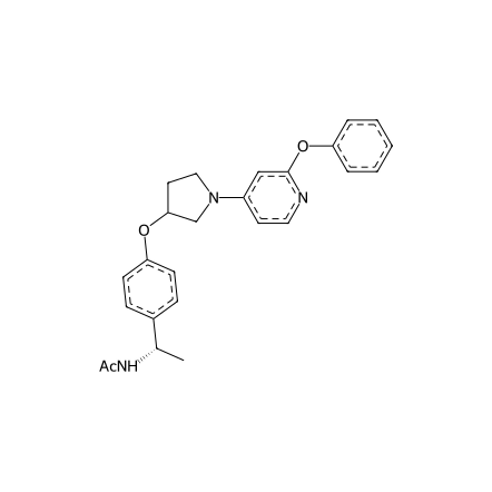 CC(=O)N[C@@H](C)c1ccc(OC2CCN(c3ccnc(Oc4ccccc4)c3)C2)cc1